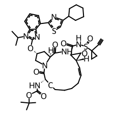 C#CC1(S(=O)(=O)NC(=O)[C@@]23C[C@@H]2/C=C\CCCCC[C@H](NC(=O)OC(C)(C)C)C(=O)N2C[C@H](Oc4nc5c(-c6nc(C7CCCCC7)cs6)cccc5n4C(C)C)C[C@H]2C(=O)N3)CC1